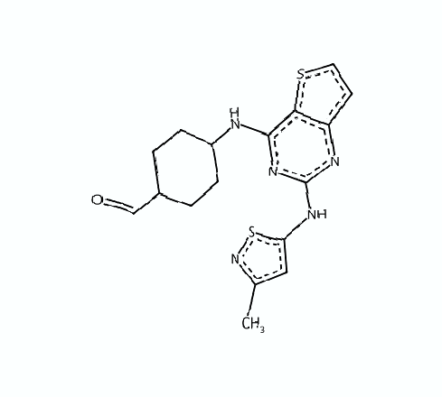 Cc1cc(Nc2nc(NC3CCC(C=O)CC3)c3sccc3n2)sn1